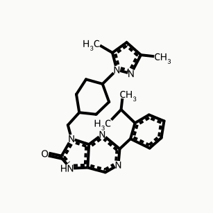 Cc1cc(C)n(C2CCC(Cn3c(=O)[nH]c4cnc(-c5ccccc5C(C)C)nc43)CC2)n1